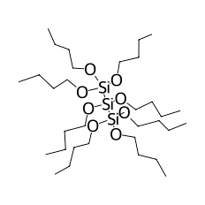 CCCCO[Si](OCCCC)(OCCCC)[Si](OCCCC)(OCCCC)[Si](OCCCC)(OCCCC)OCCCC